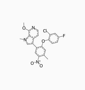 COc1nccc2c(-c3cc([N+](=O)[O-])c(C)cc3Oc3ccc(F)cc3Cl)cn(C)c12